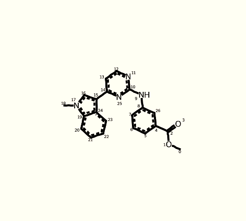 COC(=O)c1cccc(Nc2nccc(-c3cn(C)c4ccccc34)n2)c1